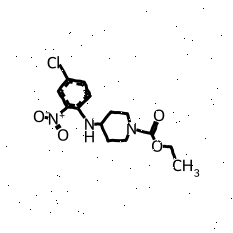 CCOC(=O)N1CCC(Nc2ccc(Cl)cc2[N+](=O)[O-])CC1